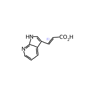 O=C(O)/C=C/c1c[nH]c2ncccc12